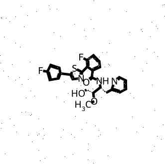 CO[C@H](CO)[C@@H](Cc1ccccn1)NC(=O)c1cccc(F)c1-c1ncc(-c2ccc(F)cc2)s1